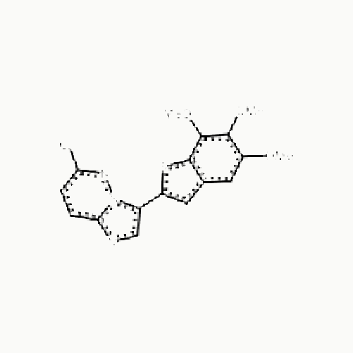 COc1cc2cc(-c3cnc4ccc(Cl)nn34)sc2c(OC)c1OC